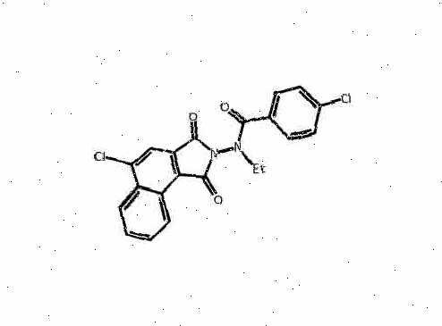 CCN(C(=O)c1ccc(Cl)cc1)N1C(=O)c2cc(Cl)c3ccccc3c2C1=O